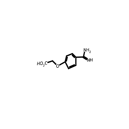 N=C(N)c1ccc(OCC(=O)O)cc1